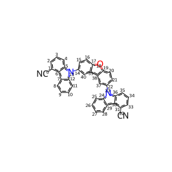 N#Cc1cccc2c1c1ccccc1n2-c1ccc2oc3ccc(-n4c5ccccc5c5c(C#N)cccc54)cc3c2c1